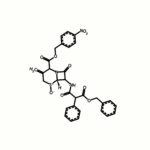 C=C1C[S+]([O-])[C@H]2C(NC(=O)C(C(=O)OCc3ccccc3)c3ccccc3)C(=O)N2C1C(=O)OCc1ccc([N+](=O)[O-])cc1